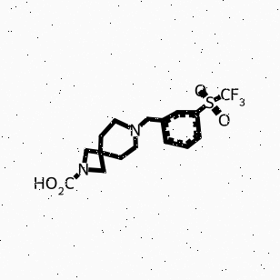 O=C(O)N1CC2(CCN(Cc3cccc(S(=O)(=O)C(F)(F)F)c3)CC2)C1